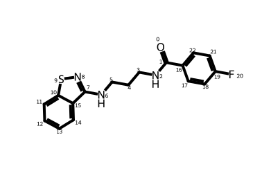 O=C(NCCCNc1nsc2ccccc12)c1ccc(F)cc1